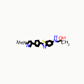 CNc1ccc(-c2ccc(-c3nc4ccc(NC[C@@H](C)O)cc4s3)cc2)cn1